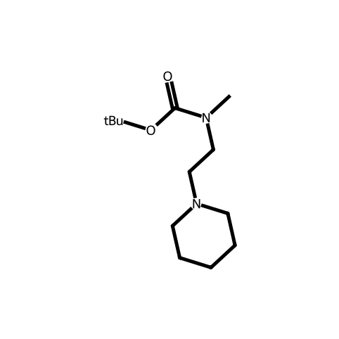 CN(CCN1CCCCC1)C(=O)OC(C)(C)C